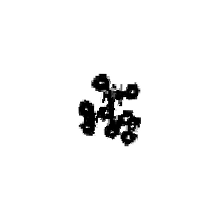 c1ccc(-c2nc(-c3ccccc3)nc(-c3cc(-n4c5ccccc5c5ccccc54)cc(-n4c5ccccc5c5c6c(ccc54)ccn6-c4ccccc4)c3)n2)cc1